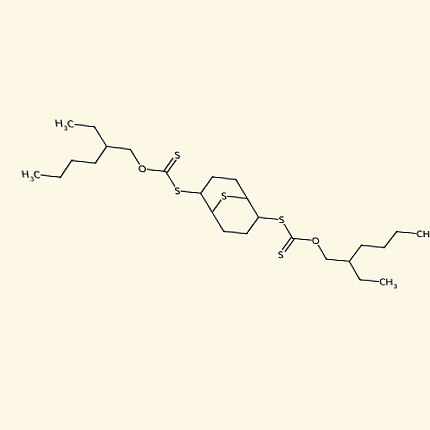 CCCCC(CC)COC(=S)SC1CCC2SC1CCC2SC(=S)OCC(CC)CCCC